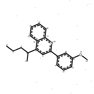 CCCC(C)c1cc(-c2cccc(OC)c2)nc2ccccc12